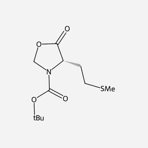 CSCC[C@H]1C(=O)OCN1C(=O)OC(C)(C)C